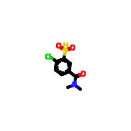 CN(C)C(=O)c1ccc(Cl)c([SH](=O)=O)c1